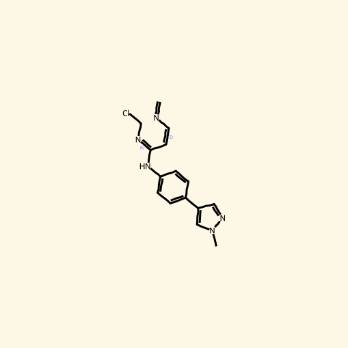 C=N/C=C\C(=N/CCl)Nc1ccc(-c2cnn(C)c2)cc1